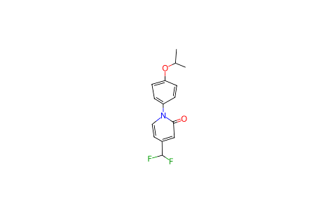 CC(C)Oc1ccc(-n2ccc(C(F)F)cc2=O)cc1